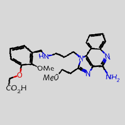 COCCc1nc2c(N)nc3ccccc3c2n1CCCNCc1cccc(OCC(=O)O)c1OC